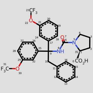 O=C(O)[C@@H]1CCCN1C(=O)NC(Cc1ccccc1)(c1cccc(OC(F)(F)F)c1)c1cccc(OC(F)(F)F)c1